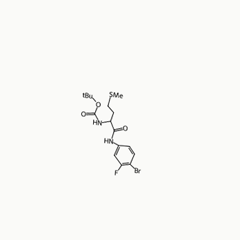 CSCCC(NC(=O)OC(C)(C)C)C(=O)Nc1ccc(Br)c(F)c1